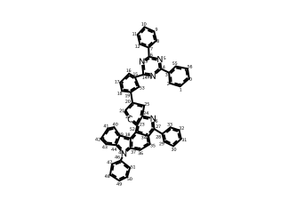 c1ccc(-c2nc(-c3ccccc3)nc(-c3cccc(-c4ccc5c(c4)nc(-c4ccccc4)c4ccc6c(c7ccccc7n6-c6ccccc6)c45)c3)n2)cc1